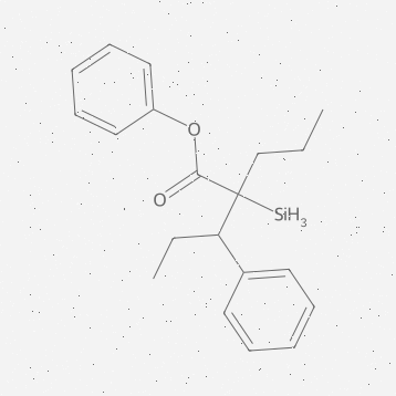 CCCC([SiH3])(C(=O)Oc1ccccc1)C(CC)c1ccccc1